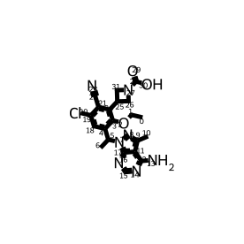 CCOc1c(C(C)n2nc(C)c3c(N)ncnc32)cc(Cl)c(C#N)c1C1CN(C(=O)O)C1